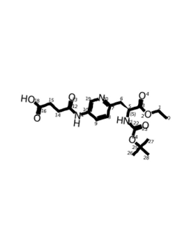 CCOC(=O)[C@H](Cc1ccc(NC(=O)CCC(=O)O)cn1)NC(=O)OC(C)(C)C